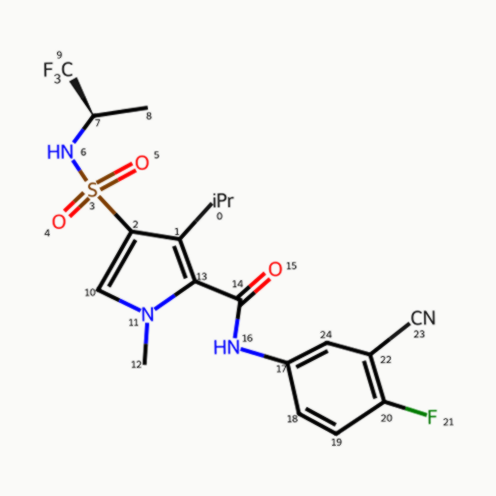 CC(C)c1c(S(=O)(=O)N[C@H](C)C(F)(F)F)cn(C)c1C(=O)Nc1ccc(F)c(C#N)c1